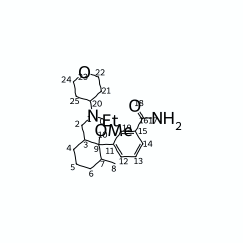 CCN(CC1CCCC(C)C1(OC)c1cccc(C(N)=O)c1)C1CCOCC1